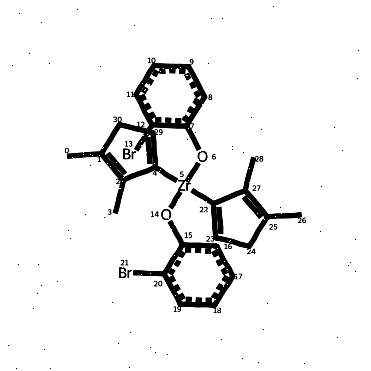 CC1=C(C)[C]([Zr]([O]c2ccccc2Br)([O]c2ccccc2Br)[C]2=CCC(C)=C2C)=CC1